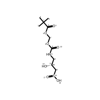 CC(C)(C)C(=O)OCOC(=O)NC[C@@H](O)CS(=O)O